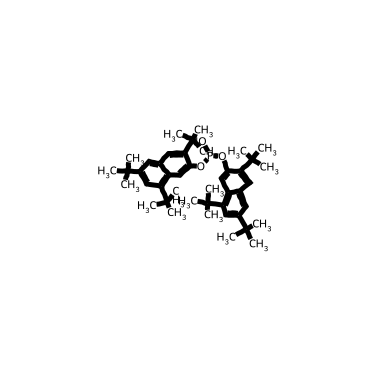 CC(C)(C)c1cc(C(C)(C)C)c2cc(OP(O)Oc3cc4c(C(C)(C)C)cc(C(C)(C)C)cc4cc3C(C)(C)C)c(C(C)(C)C)cc2c1